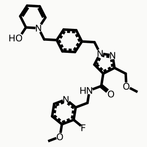 COCc1nn(Cc2ccc(CN3C=CC=CC3O)cc2)cc1C(=O)NCc1nccc(OC)c1F